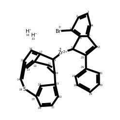 Brc1cccc2c1[CH]([Zr+2][CH]1c3cc4cc(ccc41)sc1cccc3c1)C(c1ccccc1)=C2.[H-].[H-]